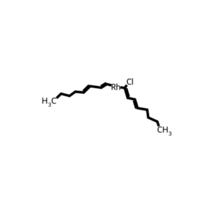 CCCCC=CC=[CH][Rh][C](Cl)=CC=CCCCC